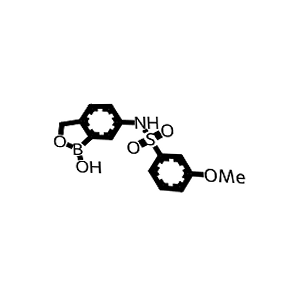 COc1cccc(S(=O)(=O)Nc2ccc3c(c2)B(O)OC3)c1